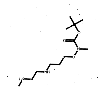 CNCCNCCCON(C)C(=O)OC(C)(C)C